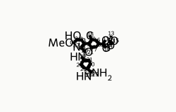 COc1ccc(-c2ccc(C(=O)OS(C)(=O)=O)cc2C(=O)O)c(C(=O)Nc2ccc(C(=N)N)cc2)n1